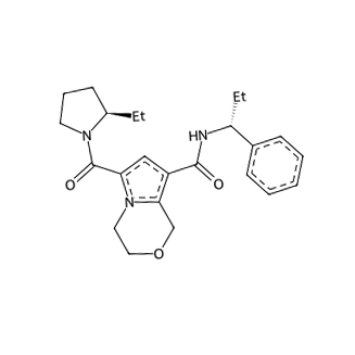 CC[C@@H]1CCCN1C(=O)c1cc(C(=O)N[C@H](CC)c2ccccc2)c2n1CCOC2